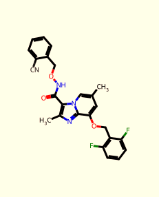 Cc1cc(OCc2c(F)cccc2F)c2nc(C)c(C(=O)NOCc3ccccc3C#N)n2c1